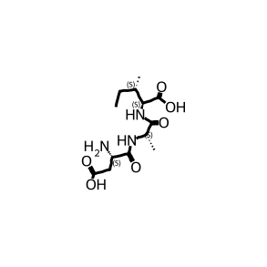 CC[C@H](C)[C@H](NC(=O)[C@H](C)NC(=O)[C@@H](N)CC(=O)O)C(=O)O